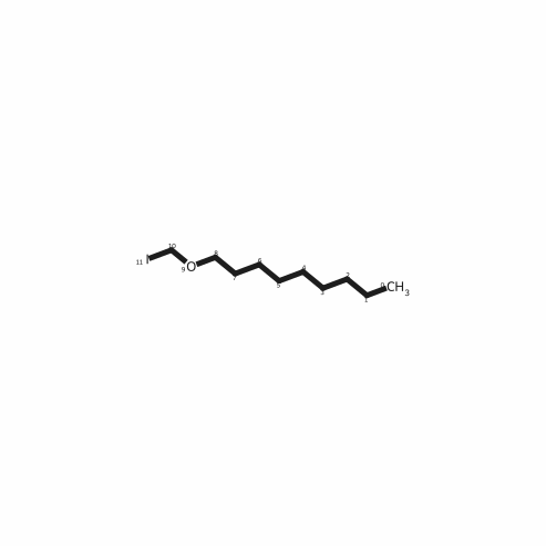 CCCCCCCCCOCI